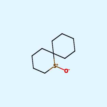 [O-][S+]1CCCCC12CCCCC2